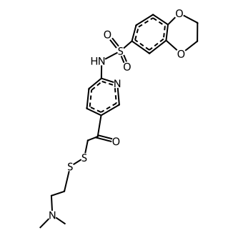 CN(C)CCSSCC(=O)c1ccc(NS(=O)(=O)c2ccc3c(c2)OCCO3)nc1